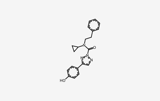 O=C(N(CCc1ccccc1)C1CC1)n1ncc(-c2ccc(O)cc2)n1